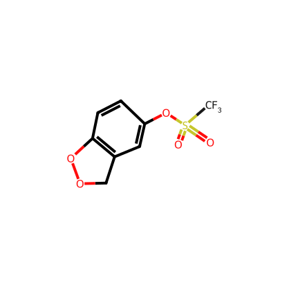 O=S(=O)(Oc1ccc2c(c1)COO2)C(F)(F)F